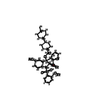 CCOc1ccccc1S(=O)(=O)N1C(=O)C(OC(=O)N2CCC(N3CCN(C)CC3)CC2)(c2cccnc2OCC)c2cc(C#N)ccc21